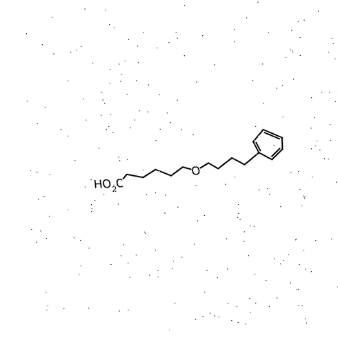 O=C(O)CCCCCOCCCCc1ccccc1